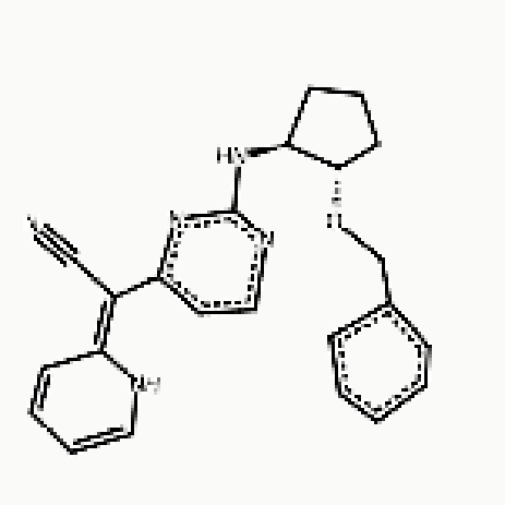 N#CC(=C1C=CC=CN1)c1ccnc(N[C@H]2CCC[C@@H]2OCc2ccccc2)n1